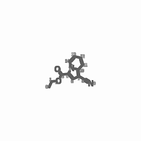 CCOC(=O)c1cc(C#N)c2ccccn12